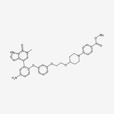 Cn1cc(-c2cc(N)ccc2Oc2cccc(OCCOC3CCN(c4ccc(C(=O)OC(C)(C)C)cc4)CC3)c2)c2cc[nH]c2c1=O